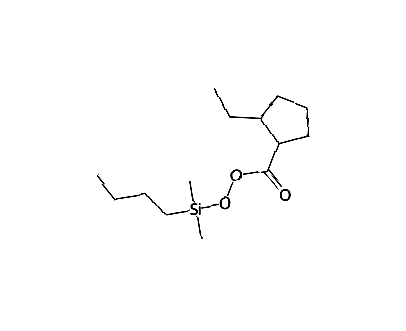 CCCC[Si](C)(C)OOC(=O)C1CCCC1CC